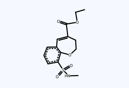 CCOC(=O)C1=Cc2cccc(S(=O)(=O)NC)c2OCC1